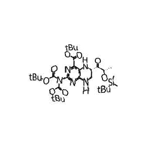 C[C@H](O[Si](C)(C)C(C)(C)C)C(=O)[C@@H]1CNc2nc(N(C(=O)OC(C)(C)C)C(=O)OC(C)(C)C)nc(C(=O)OC(C)(C)C)c2N1